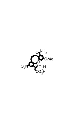 COc1cc2c(c(C(N)=O)c1)CC=CCc1cc([N+](=O)[O-])cc(C(CC(=O)O)C(=O)O)c1C(=O)O2